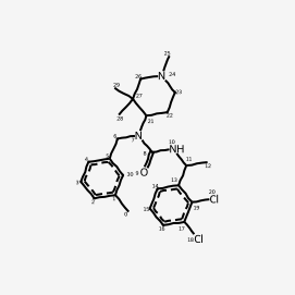 Cc1cccc(CN(C(=O)NC(C)c2cccc(Cl)c2Cl)C2CCN(C)CC2(C)C)c1